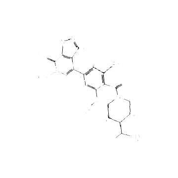 COc1cc(-c2cn(C)c(=O)c3[nH]ncc23)cc(F)c1C(=O)N1CCC(C(C)C)CC1